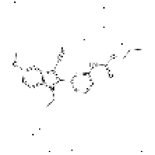 CCCOC(=O)Nc1cccc(-c2c(C#N)c3cc(OC)ccc3n2CC)c1